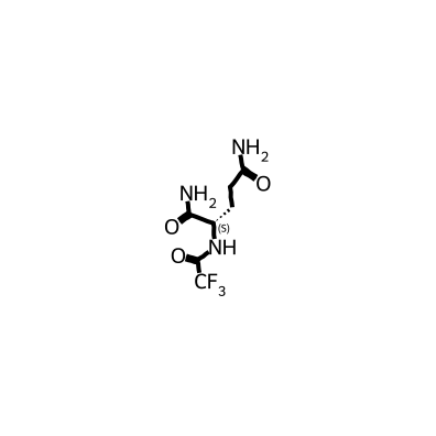 NC(=O)CC[C@H](NC(=O)C(F)(F)F)C(N)=O